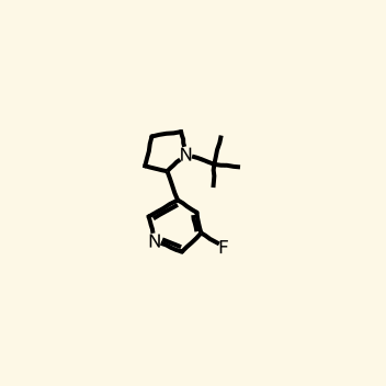 CC(C)(C)N1CCCC1c1cncc(F)c1